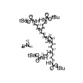 CC(C)(C)OC(=O)NCCCN(CCCNC(=O)OC(C)(C)C)CCCn1cc[n+](CCCN(CCCNC(=O)OC(C)(C)C)CCCNC(=O)OC(C)(C)C)c1.CN(C)C.[I-]